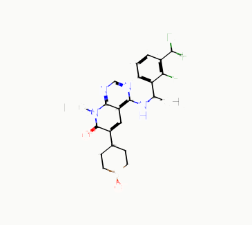 CC(Nc1ncnc2c1cc(C1CC[S+]([O-])CC1)c(=O)n2C)c1cccc(C(F)F)c1F